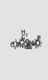 CCC(C)c1nc(N2CCOCC2)cc(C)c1OC(=O)NCc1cccc(F)c1